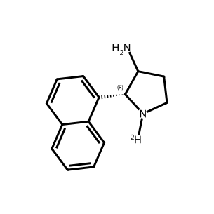 [2H]N1CCC(N)[C@H]1c1cccc2ccccc12